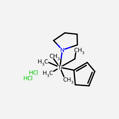 C[CH2][Ti]([CH3])([CH3])([CH3])([CH3])([C]1=CC=CC1)[N]1CCCC1.Cl.Cl